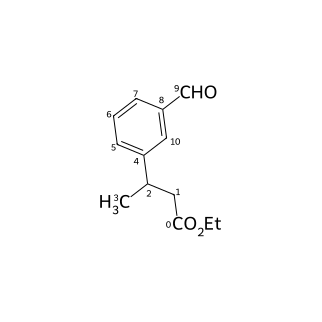 CCOC(=O)CC(C)c1cccc(C=O)c1